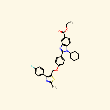 CCOC(=O)c1ccc2c(c1)nc(-c1ccc(OCc3sc(C)nc3-c3ccc(F)cc3)cc1)n2C1CCCCC1